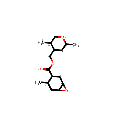 CC1CC(COC(=O)C2CC3OC3CC2C)C(C)CO1